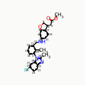 COC(=O)C[C@@H]1COc2cc(NCc3cccc(-n4c(C)nc5ccc(F)cc54)c3C)ccc21